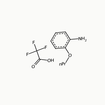 CCCOc1ccccc1N.O=C(O)C(F)(F)F